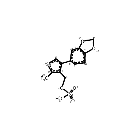 CS(=O)(=O)OCc1c(-c2ccc3c(c2)OCO3)csc1C(F)(F)F